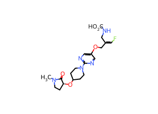 CN1CC[C@H](OC2CCN(c3ncc(OC/C(=C/F)CNC(=O)O)cn3)CC2)C1=O